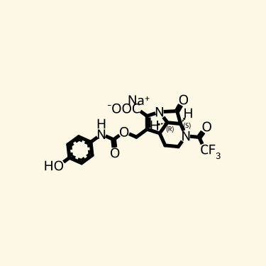 O=C(Nc1ccc(O)cc1)OCC1=C(C(=O)[O-])N2C(=O)[C@@H]3[C@H]2C1CCN3C(=O)C(F)(F)F.[Na+]